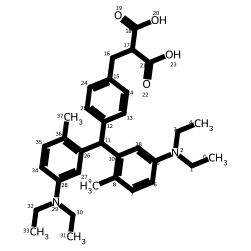 CCN(CC)c1ccc(C)c(C(c2ccc(CC(C(=O)O)C(=O)O)cc2)c2cc(N(CC)CC)ccc2C)c1